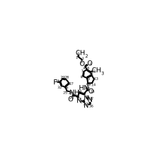 C=CCOC(=O)c1ccc2c(c1C)CC[C@@H]2NC(=O)c1cc(C(=O)NCc2cccc(F)c2)nc2ncnn12